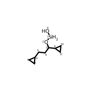 O[SiH2]OC(CCC1CC1)C1CC1